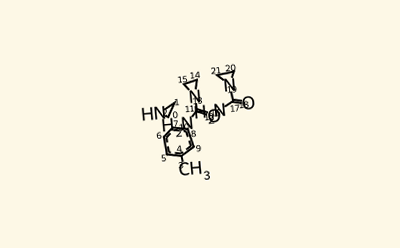 C1CN1.Cc1ccccc1.NC(=O)N1CC1.NC(=O)N1CC1